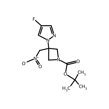 CC(C)(C)OC(=O)N1CC(C[N+](=O)[O-])(n2cc(F)cn2)C1